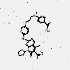 CC(=O)c1c(C)c2cnc(Nc3ccc(OCCN(C)c4ccc(C(=O)O)cn4)cn3)nc2n(C2CCCC2)c1=O